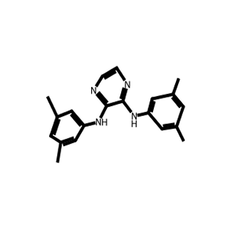 Cc1cc(C)cc(Nc2nccnc2Nc2cc(C)cc(C)c2)c1